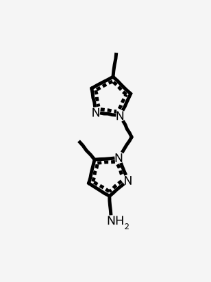 Cc1cnn(Cn2nc(N)cc2C)c1